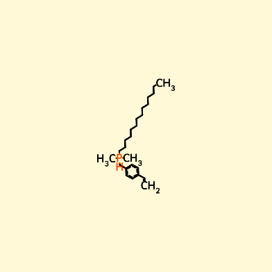 C=Cc1ccc(C[PH](C)(C)CCCCCCCCCCCCCC)cc1